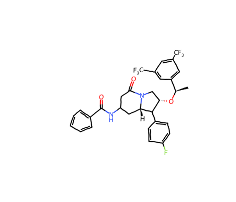 C[C@@H](O[C@H]1CN2C(=O)CC(NC(=O)c3ccccc3)C[C@H]2C1c1ccc(F)cc1)c1cc(C(F)(F)F)cc(C(F)(F)F)c1